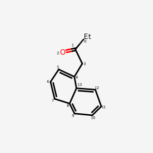 CCC(=O)Cc1cccc2ccccc12